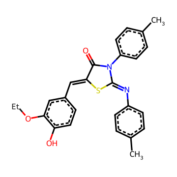 CCOc1cc(/C=C2\S/C(=N\c3ccc(C)cc3)N(c3ccc(C)cc3)C2=O)ccc1O